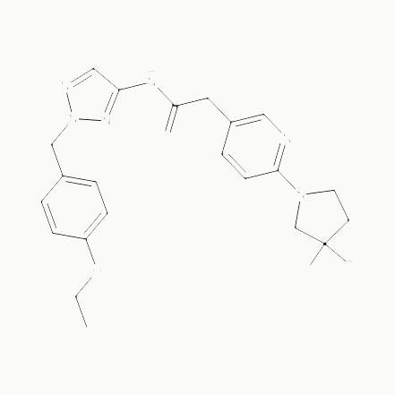 CCOc1ccc(Cn2ncc(NC(=O)Cc3ccc(N4CCC(F)(F)C4)nc3)n2)cc1